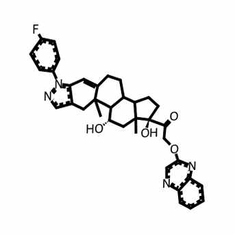 CC12Cc3cnn(-c4ccc(F)cc4)c3C=C1CCC1C2[C@@H](O)CC2(C)C1CC[C@]2(O)C(=O)COc1cnc2ccccc2n1